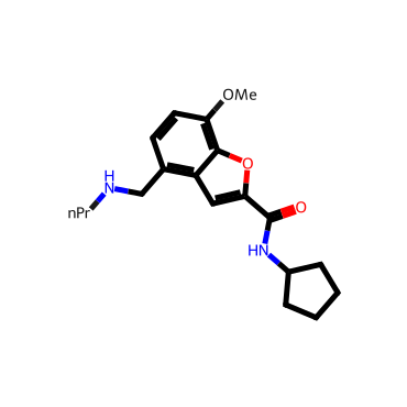 CCCNCc1ccc(OC)c2oc(C(=O)NC3CCCC3)cc12